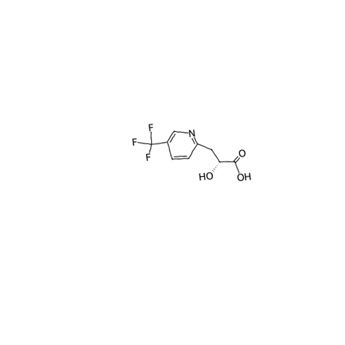 O=C(O)[C@H](O)Cc1ccc(C(F)(F)F)cn1